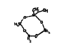 C[Si]1(O)O[SiH2]O[SiH2]O[SiH2]O1